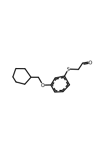 O=CCSc1cccc(OCC2CCCCC2)c1